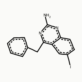 Nc1nc(Cc2ccccc2)c2cc(I)ccc2n1